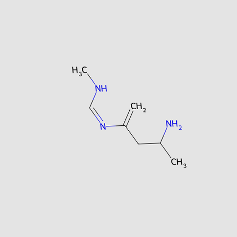 C=C(CC(C)N)/N=C\NC